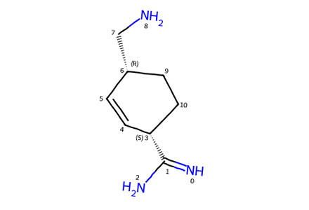 N=C(N)[C@@H]1C=C[C@H](CN)CC1